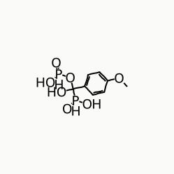 COc1ccc(C(O)(O[PH](=O)O)[PH](=O)O)cc1